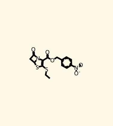 CCSC1=C(C(=O)OCc2ccc([N+](=O)[O-])cc2)N2C(=O)CC2S1